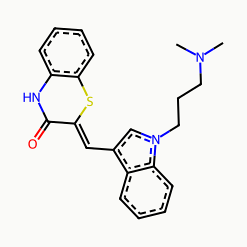 CN(C)CCCn1cc(C=C2Sc3ccccc3NC2=O)c2ccccc21